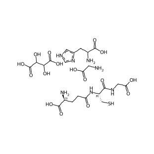 NC(Cc1c[nH]cn1)C(=O)O.NCC(=O)O.N[C@@H](CCC(=O)N[C@@H](CS)C(=O)NCC(=O)O)C(=O)O.O=C(O)C(O)C(O)C(=O)O